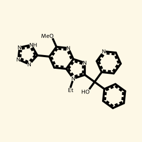 CCn1c(C(O)(c2ccccc2)c2cccnc2)nc2nc(OC)c(-c3nnn[nH]3)cc21